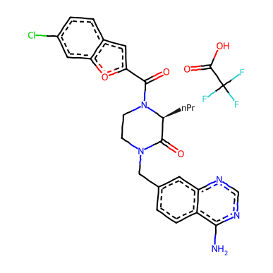 CCC[C@H]1C(=O)N(Cc2ccc3c(N)ncnc3c2)CCN1C(=O)c1cc2ccc(Cl)cc2o1.O=C(O)C(F)(F)F